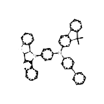 CC1(C)c2ccccc2-c2ccc(N(c3ccc(-c4ccccc4)cc3)c3ccc(N4c5c(oc6ccccc56)C5Oc6ccccc6C54)cc3)cc21